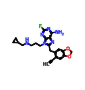 C#Cc1cc2c(cc1Cc1nc3c(N)nc(F)nc3n1CCCNCC1CC1)OCO2